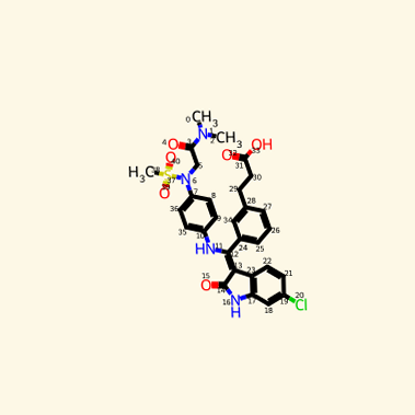 CN(C)C(=O)CN(c1ccc(N/C(=C2\C(=O)Nc3cc(Cl)ccc32)c2cccc(CCC(=O)O)c2)cc1)S(C)(=O)=O